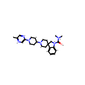 Cc1cnc(N2CCC(N3CCC4(CC3)CN(C(=O)N(C)C)c3ccccc34)CC2)cn1